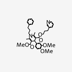 COC(=O)C1=C(C)N(CCCc2ccccc2)C(C)=C(C(=O)OCCCc2cccnc2)C1c1ccc(OC)c(OC)c1